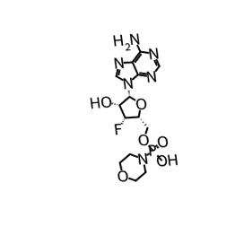 Nc1ncnc2c1ncn2[C@@H]1O[C@H](COP(=O)(O)N2CCOCC2)[C@H](F)[C@@H]1O